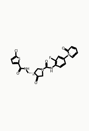 O=C(NC[C@@H]1CN(C(=O)Nc2ccc(-n3ccccc3=O)cc2F)CC1=O)c1ccc(Cl)s1